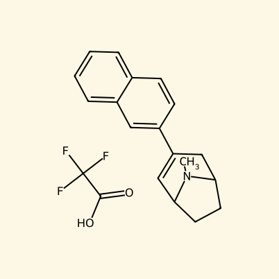 CN1C2C=C(c3ccc4ccccc4c3)CC1CC2.O=C(O)C(F)(F)F